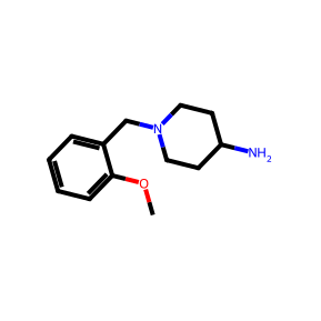 COc1ccccc1CN1CCC(N)CC1